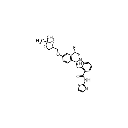 CC1(C)OCC(COc2ccc(-c3nc4c(C(=O)Nc5nccs5)cccc4[nH]3)c(C(F)F)c2)O1